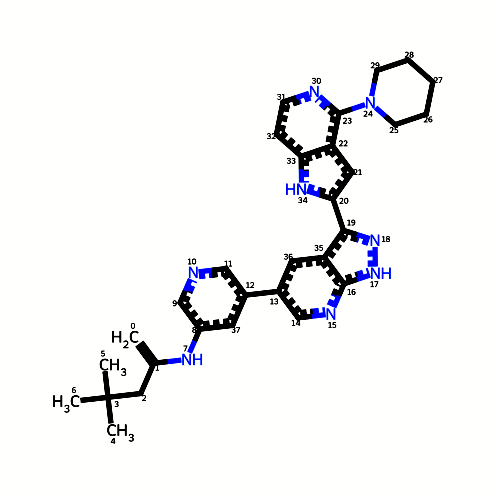 C=C(CC(C)(C)C)Nc1cncc(-c2cnc3[nH]nc(-c4cc5c(N6CCCCC6)nccc5[nH]4)c3c2)c1